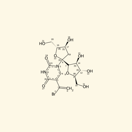 C=C(Br)c1cn([C@@]2(C3O[C@H](CO)[C@@H](O)[C@@H]3O)C[C@H](O)[C@@H](CO)O2)c(=O)[nH]c1=O